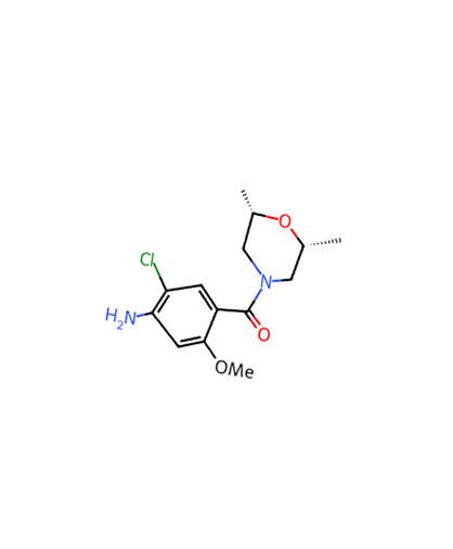 COc1cc(N)c(Cl)cc1C(=O)N1C[C@@H](C)O[C@@H](C)C1